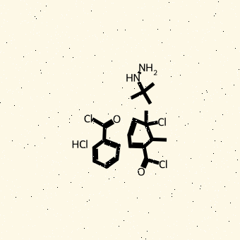 CC(C)(C)NN.CC1C(C(=O)Cl)=CC=CC1(C)Cl.Cl.O=C(Cl)c1ccccc1